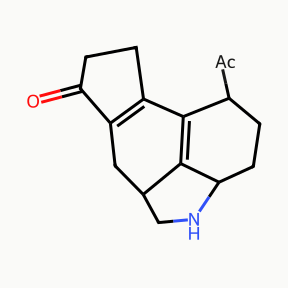 CC(=O)C1CCC2NCC3CC4=C(CCC4=O)C1=C32